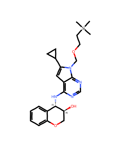 C[Si](C)(C)CCOCn1c(C2CC2)cc2c(N[C@H]3c4ccccc4OC[C@@H]3O)ncnc21